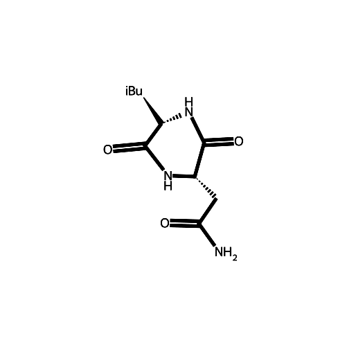 CC[C@H](C)[C@@H]1NC(=O)[C@H](CC(N)=O)NC1=O